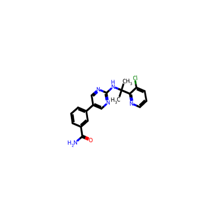 CC(C)(Nc1ncc(-c2cccc(C(N)=O)c2)cn1)c1ncccc1Cl